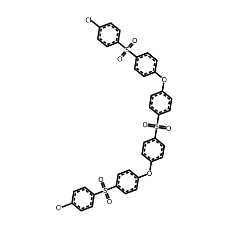 O=S(=O)(c1ccc(Cl)cc1)c1ccc(Oc2ccc(S(=O)(=O)c3ccc(Oc4ccc(S(=O)(=O)c5ccc(Cl)cc5)cc4)cc3)cc2)cc1